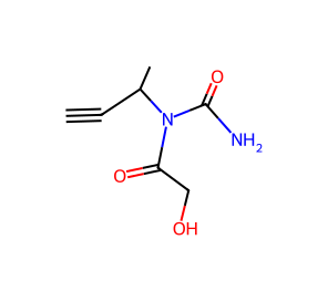 C#CC(C)N(C(N)=O)C(=O)CO